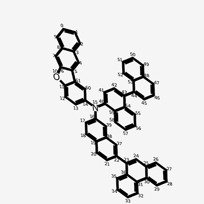 c1ccc2cc3c(cc2c1)oc1ccc(N(c2ccc4ccc(-c5cc6ccccc6c6ccccc56)cc4c2)c2ccc(-c4cccc5ccccc45)c4ccccc24)cc13